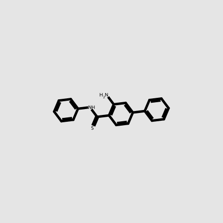 Nc1cc(-c2ccccc2)ccc1C(=S)Nc1ccccc1